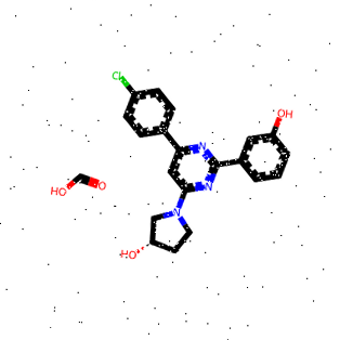 O=CO.Oc1cccc(-c2nc(-c3ccc(Cl)cc3)cc(N3CC[C@H](O)C3)n2)c1